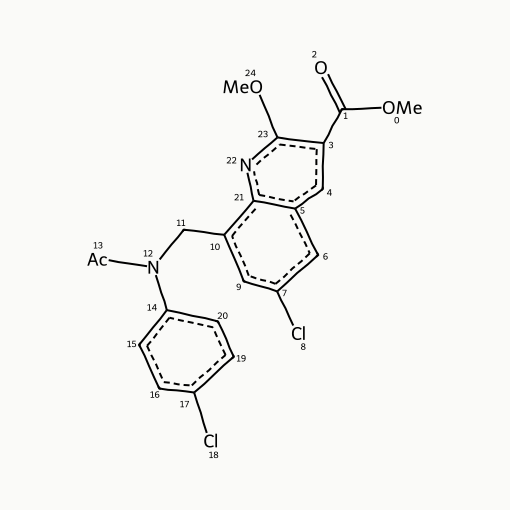 COC(=O)c1cc2cc(Cl)cc(CN(C(C)=O)c3ccc(Cl)cc3)c2nc1OC